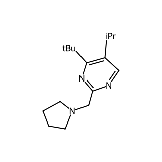 CC(C)c1cnc(CN2CCCC2)nc1C(C)(C)C